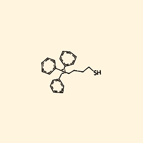 SCCCC[Si](c1ccccc1)(c1ccccc1)c1ccccc1